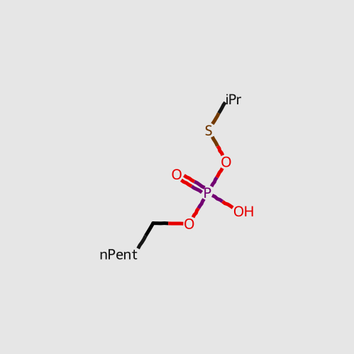 CCCCCCOP(=O)(O)OSC(C)C